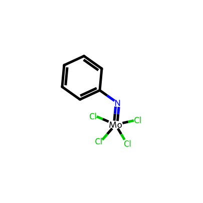 [Cl][Mo]([Cl])([Cl])([Cl])=[N]c1ccccc1